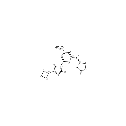 O=C(O)c1cc(O[C@H]2CCOC2)cc(-c2ncc(C3CCC3)s2)c1